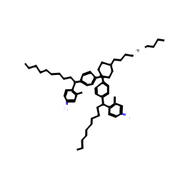 CCCCCCCCCCC1CCC(c2ccc(C(CCCCCCCCC)c3ccc(N)cc3C)cc2)(c2ccc(C(CCCCCCCCC)c3ccc(N)cc3C)cc2)CC1